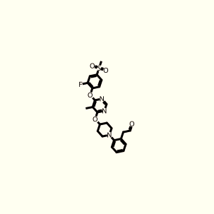 Cc1c(Oc2ccc(S(C)(=O)=O)cc2F)ncnc1OC1CCN(c2ccccc2CC=O)CC1